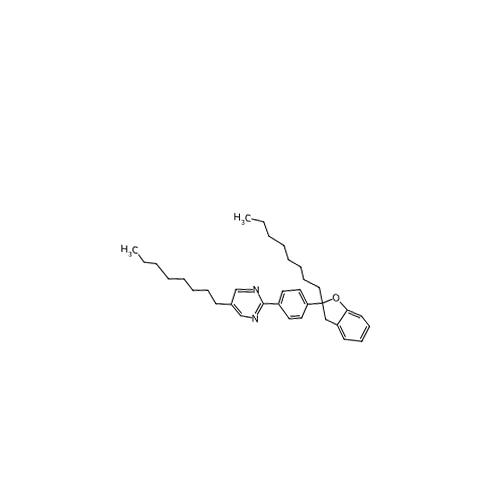 CCCCCCCCc1cnc(-c2ccc(C3(CCCCCCCC)Cc4ccccc4O3)cc2)nc1